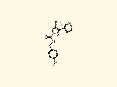 Bc1cc(C(=O)OCc2ccc(OC)cc2)sc1-c1cccnc1